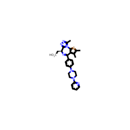 Cc1sc2c(c1C)C(c1ccc(N3CCN(c4ccccn4)CC3)cc1)=N[C@@H](CC(=O)O)c1nnc(C)n1-2